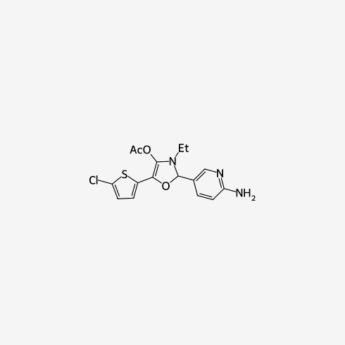 CCN1C(OC(C)=O)=C(c2ccc(Cl)s2)OC1c1ccc(N)nc1